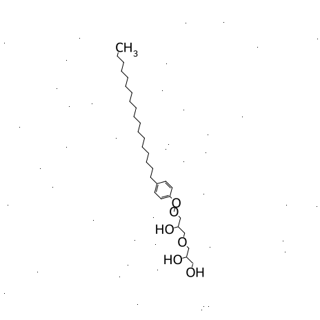 CCCCCCCCCCCCCCCCCCc1ccc(OOCC(O)COCC(O)CO)cc1